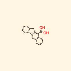 OB(O)c1c2c(cc3ccccc13)-c1ccccc1C2